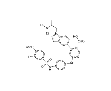 CCN(CC)C(C)Cn1ccc2cc(-c3cc(Nc4ccc(NS(=O)(=O)c5ccc(OC)c(F)c5)cc4)ncn3)ccc21.O=CO